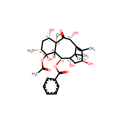 CC(=O)O[C@]1(O)[C@H](C)C[C@H](O)[C@@]2(C)C(=O)[C@H](O)C3=C(C)[C@@H](O)C[C@@](O)([C@@H](OC(=O)c4ccccc4)[C@H]12)C3(C)C